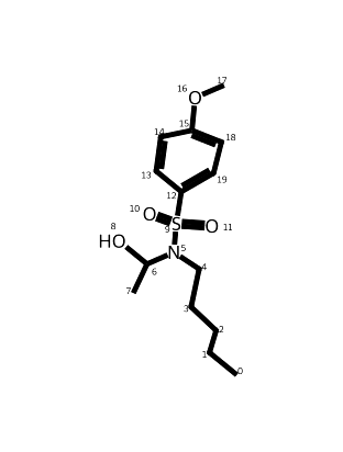 CCCCCN(C(C)O)S(=O)(=O)c1ccc(OC)cc1